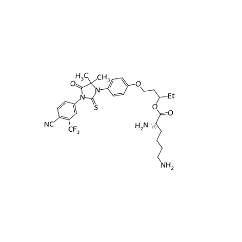 CCC(CCOc1ccc(N2C(=S)N(c3ccc(C#N)c(C(F)(F)F)c3)C(=O)C2(C)C)cc1)OC(=O)[C@@H](N)CCCCN